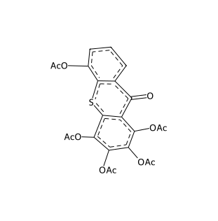 CC(=O)Oc1c(OC(C)=O)c(OC(C)=O)c2c(=O)c3cccc(OC(C)=O)c3sc2c1OC(C)=O